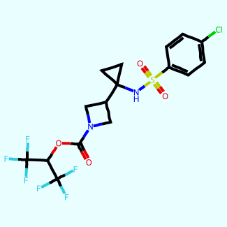 O=C(OC(C(F)(F)F)C(F)(F)F)N1CC(C2(NS(=O)(=O)c3ccc(Cl)cc3)CC2)C1